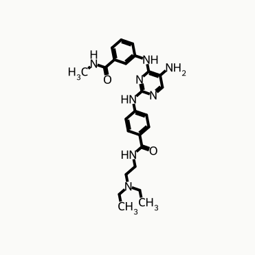 CCN(CC)CCNC(=O)c1ccc(Nc2ncc(N)c(Nc3cccc(C(=O)NC)c3)n2)cc1